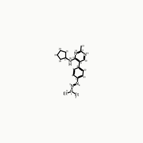 CCN(CC)N=Nc1ccc(-c2cnc(C)nc2NC2CCCC2)cc1